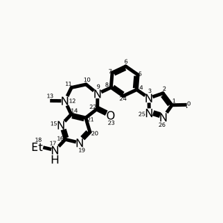 [CH2]c1cn(-c2cccc(N3CCN(C)c4nc(NCC)ncc4C3=O)c2)nn1